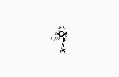 CO[C@@H]1C(=O)[C@H](OC)C[C@]2(CO2)C1[C@H]1O[C@@H]1CCOC(F)(F)F